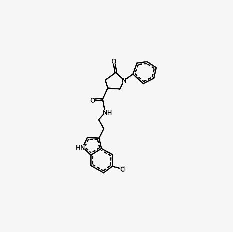 O=C(NCCc1c[nH]c2ccc(Cl)cc12)C1CC(=O)N(c2ccccc2)C1